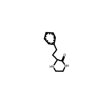 O=C1NCCNC1CCc1ccccc1